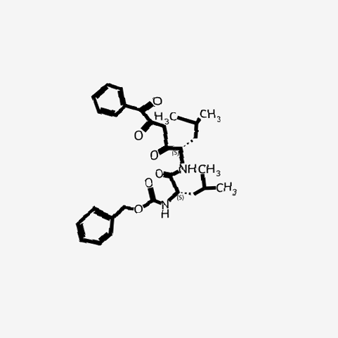 CC(C)C[C@H](NC(=O)[C@H](CC(C)C)NC(=O)OCc1ccccc1)C(=O)CC(=O)C(=O)c1ccccc1